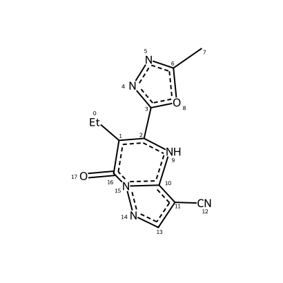 CCc1c(-c2nnc(C)o2)[nH]c2c(C#N)cnn2c1=O